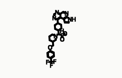 O=[SH](=O)C(C1CCC(c2ncnc3cnc4[nH]ccc4c23)CC1)N1CCCC(COc2ccc(C(F)(F)F)cc2)C1